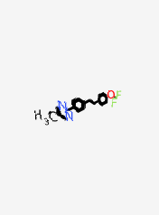 Cc1cnc(-c2ccc(CCc3ccc(OC(F)F)cc3)cc2)nc1